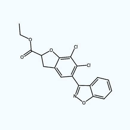 CCOC(=O)C1Cc2cc(-c3noc4ccccc34)c(Cl)c(Cl)c2O1